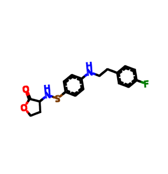 O=C1OCCC1NSc1ccc(NCCc2ccc(F)cc2)cc1